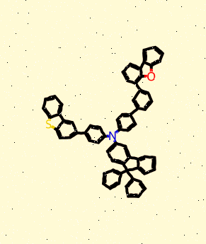 c1ccc(C2(c3ccccc3)c3ccccc3-c3cc(N(c4ccc(-c5cccc(-c6cccc7c6oc6ccccc67)c5)cc4)c4ccc(-c5ccc6sc7ccccc7c6c5)cc4)ccc32)cc1